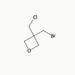 ClCC1(CBr)COC1